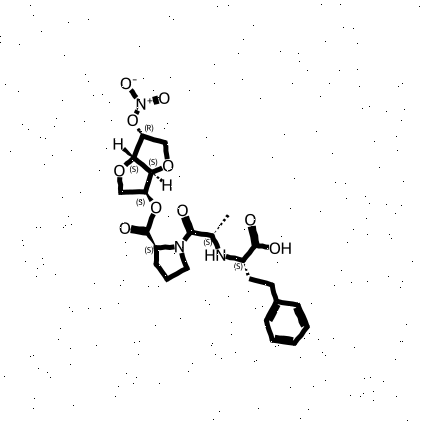 C[C@H](N[C@@H](CCc1ccccc1)C(=O)O)C(=O)N1CCC[C@H]1C(=O)O[C@H]1CO[C@H]2[C@H]1OC[C@H]2O[N+](=O)[O-]